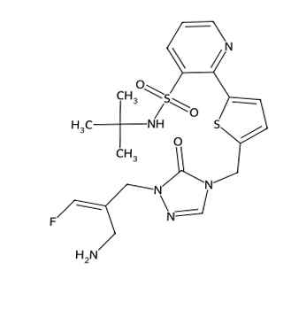 CC(C)(C)NS(=O)(=O)c1cccnc1-c1ccc(Cn2cnn(C/C(=C/F)CN)c2=O)s1